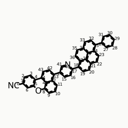 N#Cc1ccc2c(c1)Oc1cccc3c(-c4ccc(-c5ccc6ccc7c(-c8ccccc8)ccc8ccc5c6c87)nc4)ccc-2c13